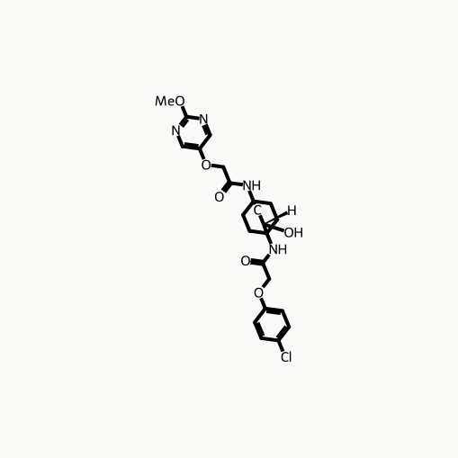 COc1ncc(OCC(=O)NC23CCC(NC(=O)COc4ccc(Cl)cc4)(CC2)[C@@H](O)C3)cn1